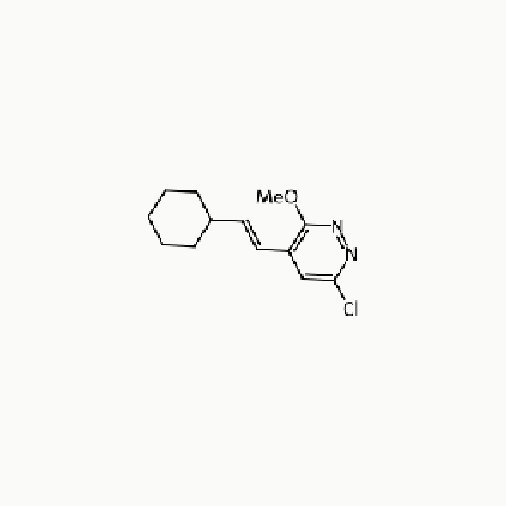 COc1nnc(Cl)cc1/C=C/C1CCCCC1